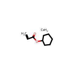 C=CC(=O)OC1CCCCC1.[CaH2]